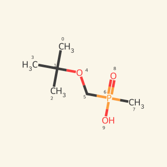 CC(C)(C)OCP(C)(=O)O